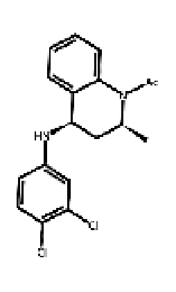 CC(=O)N1c2ccccc2[C@H](Nc2ccc(Cl)c(Cl)c2)C[C@@H]1C